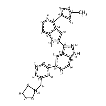 Cc1ccc(-c2nccc3[nH]c(-c4n[nH]c5cnc(-c6cncc(CN7CCCC7)c6)cc45)cc23)s1